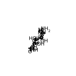 Cc1cn([C@H]2C[C@H](OP(=O)(O)OC[C@H]3O[C@@H](n4cnc5c(N)ncnc54)C[C@@H]3O)[C@@H](CO)O2)c(=O)[nH]c1=O